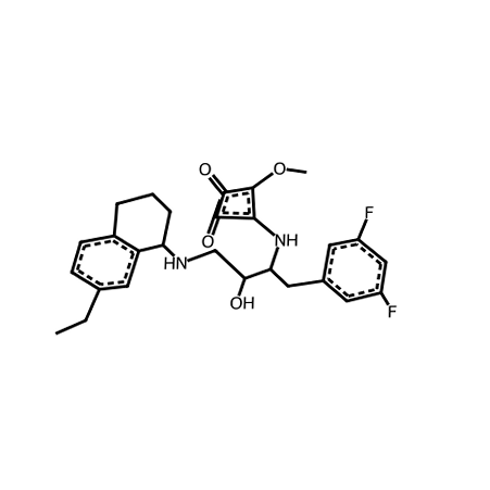 CCc1ccc2c(c1)C(NCC(O)C(Cc1cc(F)cc(F)c1)Nc1c(OC)c(=O)c1=O)CCC2